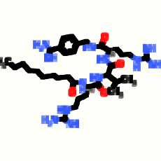 CCCCCCCCCC(=O)N[C@@H](CCCNC(=N)N)C(=O)NC(C(=O)N[C@@H](CCCNC(=N)N)C(=O)NCc1ccc(C(=N)N)cc1)C(C)C